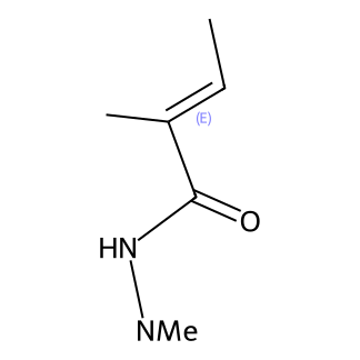 C/C=C(\C)C(=O)NNC